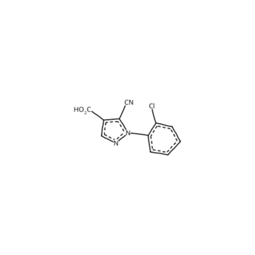 N#Cc1c(C(=O)O)cnn1-c1ccccc1Cl